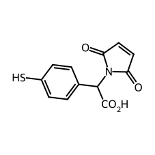 O=C(O)C(c1ccc(S)cc1)N1C(=O)C=CC1=O